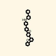 C1=CCCC(C2=CC(Nc3ccc(-c4ccc5c6c(oc5c4)C=C(c4cccc5c4oc4ccccc45)CC6)cc3)CC=C2)=C1